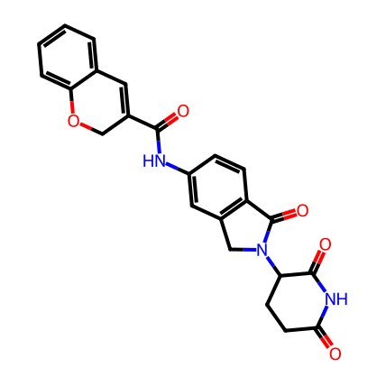 O=C1CCC(N2Cc3cc(NC(=O)C4=Cc5ccccc5OC4)ccc3C2=O)C(=O)N1